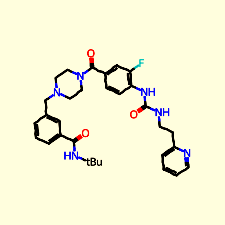 CC(C)(C)NC(=O)c1cccc(CN2CCN(C(=O)c3ccc(NC(=O)NCCc4ccccn4)c(F)c3)CC2)c1